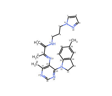 C=C(NCCCn1cccn1)/C(C)=N/c1c(C)ncnc1N1CCc2cc(C)ccc21